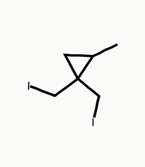 CC1CC1(CI)CI